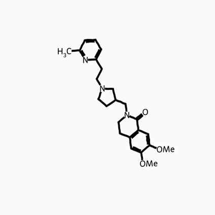 COc1cc2c(cc1OC)C(=O)N(CC1CCN(CCc3cccc(C)n3)C1)CC2